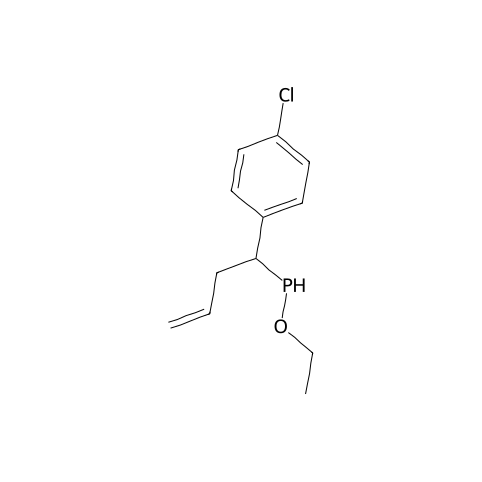 C=CCC(POCC)c1ccc(Cl)cc1